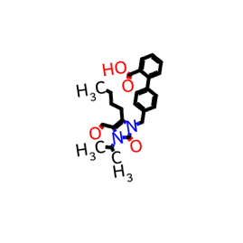 CCCCc1c(C=O)n(C(C)C)c(=O)n1Cc1ccc(-c2ccccc2C(=O)O)cc1